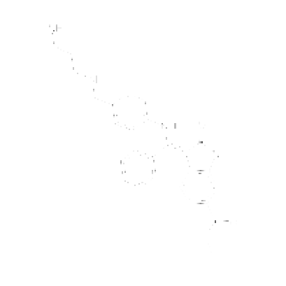 COC(=O)c1ccc2c(c1)NC(=O)/C2=C(\Nc1ccc(CNCCCN)cc1)c1ccccc1